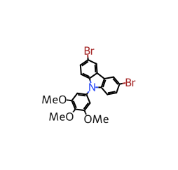 COc1cc(-n2c3ccc(Br)cc3c3cc(Br)ccc32)cc(OC)c1OC